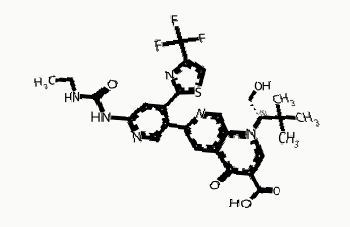 CCNC(=O)Nc1cc(-c2nc(C(F)(F)F)cs2)c(-c2cc3c(=O)c(C(=O)O)cn([C@H](CO)C(C)(C)C)c3cn2)cn1